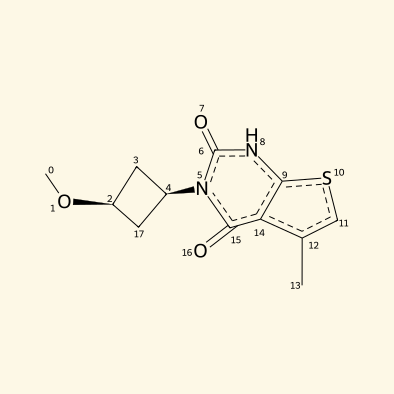 CO[C@H]1C[C@@H](n2c(=O)[nH]c3scc(C)c3c2=O)C1